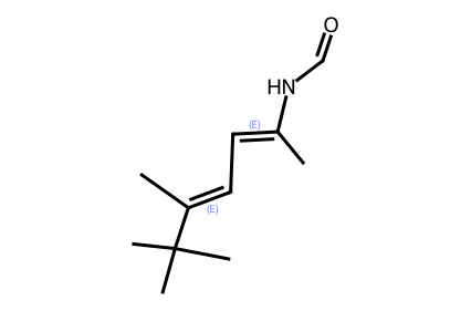 C/C(=C\C=C(/C)C(C)(C)C)NC=O